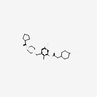 Cc1c(CN2CCN(C(=O)C3CCCC3)[C@@H](C)C2)cc(Cl)cc1NC(=O)CC1CCC(O)CC1